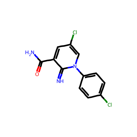 N=c1c(C(N)=O)cc(Cl)cn1-c1ccc(Cl)cc1